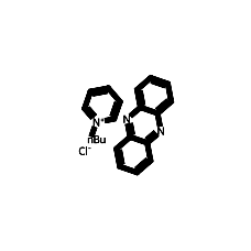 CCCC[n+]1ccccc1.[Cl-].c1ccc2nc3ccccc3nc2c1